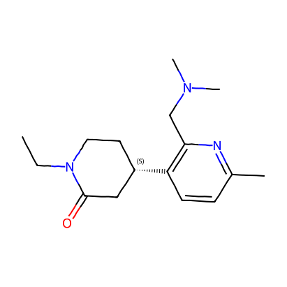 CCN1CC[C@H](c2ccc(C)nc2CN(C)C)CC1=O